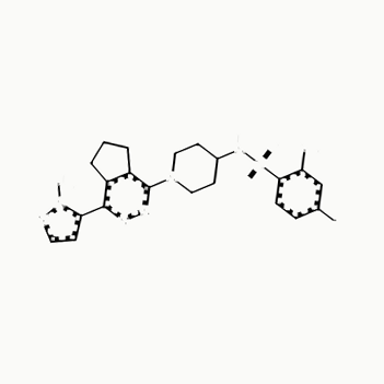 Cn1nccc1-c1nnc(N2CCC(NS(=O)(=O)c3ccc(F)cc3C(F)(F)F)CC2)c2c1CCC2